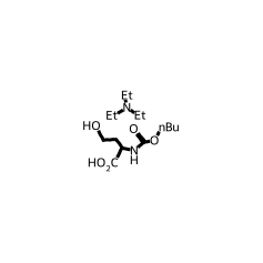 CCCCOC(=O)NC(CCO)C(=O)O.CCN(CC)CC